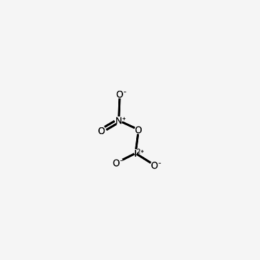 O=[N+]([O-])O[I+2]([O-])[O-]